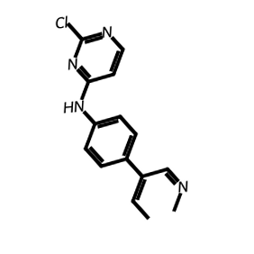 C/C=C(\C=N/C)c1ccc(Nc2ccnc(Cl)n2)cc1